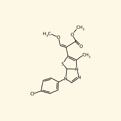 COC=C(C(=O)OC)C1=C(C)N2N=CN(c3ccc(Cl)cc3)C2S1